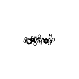 O=C1COc2ccc(CNC(=O)c3nc4sc5c(c4c(=O)[nH]3)CCCS(=O)(=O)C5)cc2N1